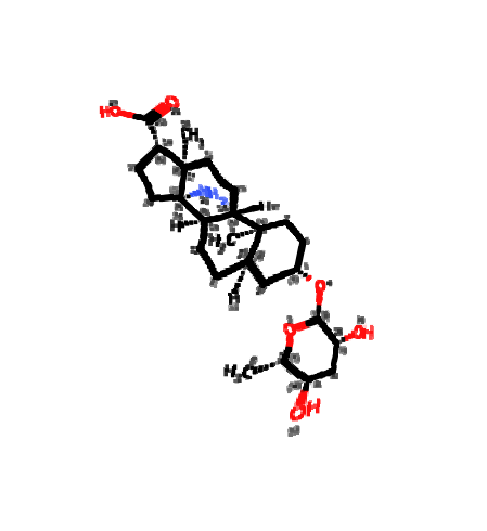 C[C@@H]1O[C@@H](O[C@H]2CC[C@@]3(C)[C@H](CC[C@@H]4[C@@H]3CC[C@]3(C)[C@@H](C(=O)O)CC[C@]43N)C2)[C@H](O)C[C@H]1O